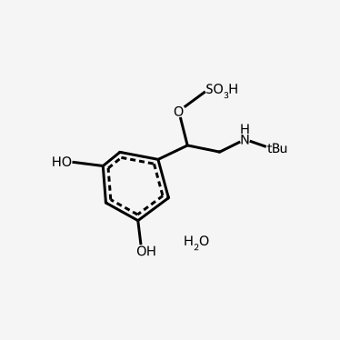 CC(C)(C)NCC(OS(=O)(=O)O)c1cc(O)cc(O)c1.O